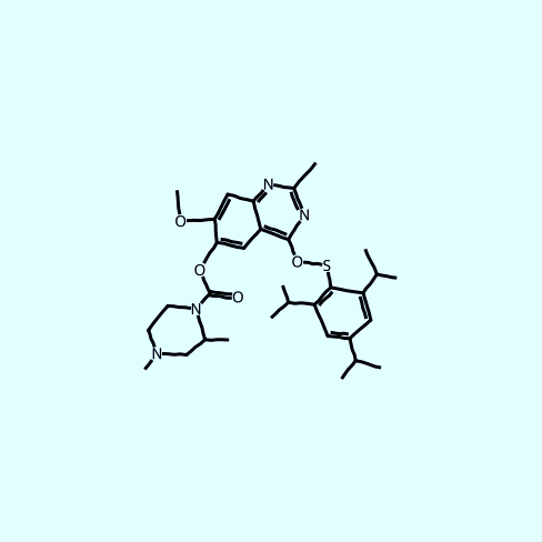 COc1cc2nc(C)nc(OSc3c(C(C)C)cc(C(C)C)cc3C(C)C)c2cc1OC(=O)N1CCN(C)CC1C